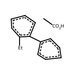 CC(=O)O.CCc1ccccc1-c1ccccc1